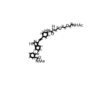 CNC(=O)c1ccccc1Sc1ccc2c(C#Cc3ccc(NC(=O)NCCOCCOCCNC(C)=O)cc3)n[nH]c2c1